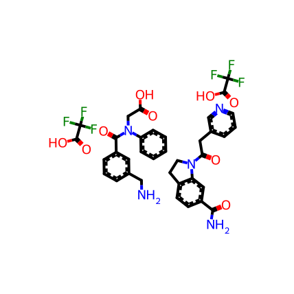 NC(=O)c1ccc2c(c1)N(C(=O)Cc1cccnc1)CC2.NCc1cccc(C(=O)N(CC(=O)O)c2ccccc2)c1.O=C(O)C(F)(F)F.O=C(O)C(F)(F)F